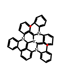 C1=[C]([Ir]([C]2=CCc3ccccc3N2c2ccccc2)[C]2=CCc3ccccc3N2c2ccccc2)N(c2ccccc2)c2ccccc2C1